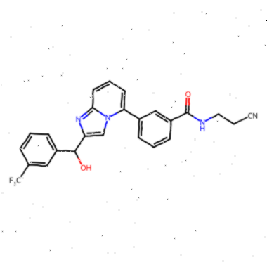 N#CCCNC(=O)c1cccc(-c2cccc3nc(C(O)c4cccc(C(F)(F)F)c4)cn23)c1